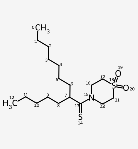 CCCCCCCC(CCCCC)C(=S)N1CCS(=O)(=O)CC1